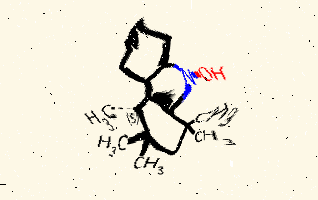 C[C@@H]1c2c(n(O)c3ccccc23)C(C)(C)CC1(C)C